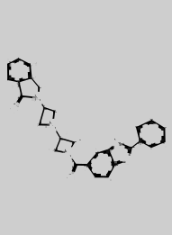 O=C(c1ccc2oc(-c3ccccc3)nc2c1)N1CC(N2CC(N3Cc4ccccc4C3=O)C2)C1